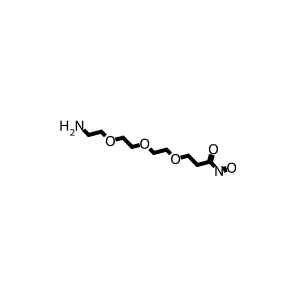 NCCOCCOCCOCCC(=O)N=O